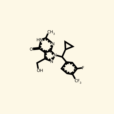 Cc1nc2c(c(CO)nn2C(c2ccc(C(F)(F)F)c(F)c2)C2CC2)c(=O)[nH]1